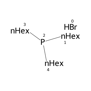 Br.CCCCCCP(CCCCCC)CCCCCC